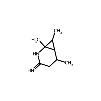 CC1CC(=N)NC2(C)C(C)C12